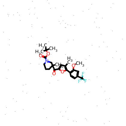 COc1cc(C(F)(F)F)ccc1-c1oc(C(=O)C2(C)CCCN(C(=O)OC(C)(C)C)C2)cc1C